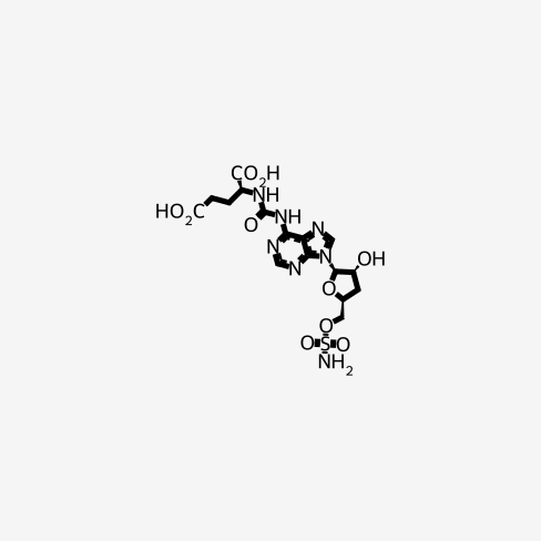 NS(=O)(=O)OC[C@@H]1C[C@@H](O)[C@H](n2cnc3c(NC(=O)N[C@@H](CCC(=O)O)C(=O)O)ncnc32)O1